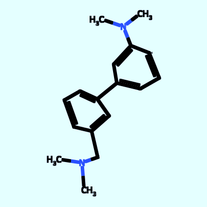 CN(C)Cc1cccc(-c2cc[c]c(N(C)C)c2)c1